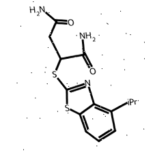 CC(C)c1cccc2sc(SC(CC(N)=O)C(N)=O)nc12